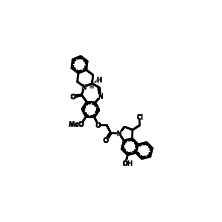 COc1cc2c(cc1OCC(=O)N1CC(CCl)c3c1cc(O)c1ccccc31)N=C[C@@H]1Cc3ccccc3CN1C2=O